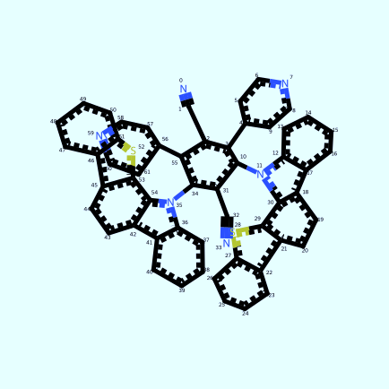 N#Cc1c(-c2ccncc2)c(-n2c3ccccc3c3ccc4c5ccccc5sc4c32)c(C#N)c(-n2c3ccccc3c3ccc4c5ccccc5sc4c32)c1-c1ccncc1